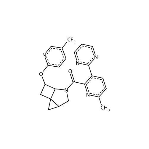 Cc1ccc(-c2ncccn2)c(C(=O)N2CC3CC34CC(Oc3ccc(C(F)(F)F)cn3)C24)n1